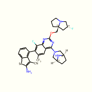 N#Cc1c(N)[se]c2cccc(-c3c(C(F)(F)F)cc4c(N5C[C@H]6CC[C@@H](C5)N6)nc(OC[C@@]56CCCN5C[C@H](F)C6)nc4c3F)c12